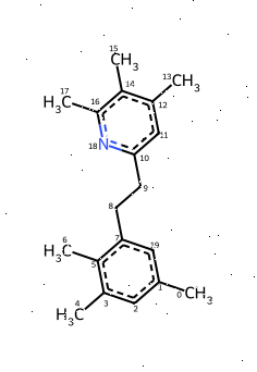 Cc1cc(C)c(C)c(CCc2cc(C)c(C)c(C)n2)c1